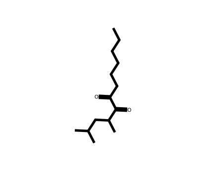 CCCCCCC(=O)C(=O)C(C)CC(C)C